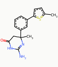 Cc1ccc(-c2cccc(C3(C)CC(=O)NC(N)=N3)c2)s1